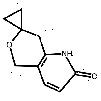 O=c1ccc2c([nH]1)CC1(CC1)OC2